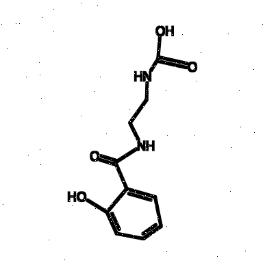 O=C(O)NCCNC(=O)c1ccccc1O